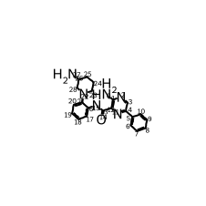 Nc1ncc(-c2ccccc2)nc1C(=O)Nc1ccccc1N1CCCC(N)C1